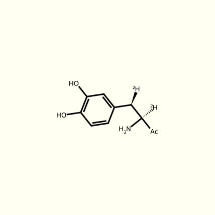 [2H][C@H](c1ccc(O)c(O)c1)[C@]([2H])(N)C(C)=O